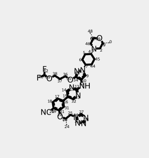 C[C@@H]1CN([C@H]2CC[C@H](n3cc(Nc4ncc(-c5ccc(C#N)c(O[C@@H](C)Cn6cnnn6)c5)cn4)c(OCCCOC(F)F)n3)CC2)C[C@H](C)O1